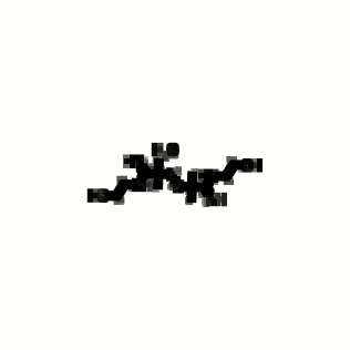 CC(C)(N=NC(C)(C)C(=N)NCCO)C(=N)NCCO.O